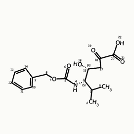 CC(C)[C@H](NC(=O)OCc1ccccc1)[C@H](O)CC(=O)C(=O)O